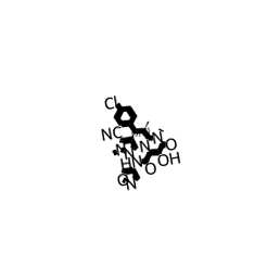 C[C@H](c1nc(C(=O)Nc2cnoc2)c(O)c(=O)n1C)[C@H](c1cnn(C)c1)c1ccc(Cl)cc1C#N